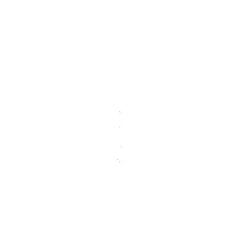 O=C(COc1ccc(Cl)c(F)c1)NC12CC(NC(=O)c3ccc(F)cc3F)(C1)C2